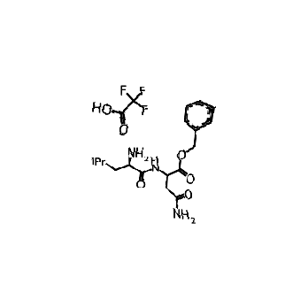 CC(C)C[C@@H](N)C(=O)N[C@H](CC(N)=O)C(=O)OCc1ccccc1.O=C(O)C(F)(F)F